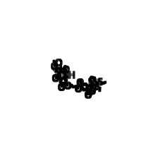 CCSC(SCC)[C@@H]1CCCN1C(=O)c1cc(OC)c(OCCCOc2cc3c(cc2OC)C(=O)N2C[C@H](OC(C)=O)C[C@H]2C(=O)N3)cc1[N+](=O)[O-]